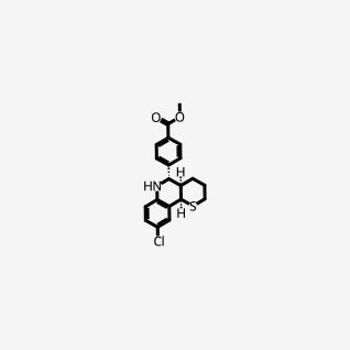 COC(=O)c1ccc([C@H]2Nc3ccc(Cl)cc3[C@@H]3SCCC[C@H]23)cc1